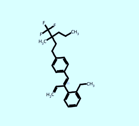 C=C/C(=C\c1ccc(CCC(C)(CCC)C(F)(F)F)cc1)c1ccccc1CC